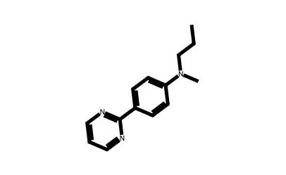 CCCN(C)c1ccc(-c2ncccn2)cc1